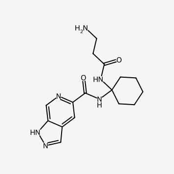 NCCC(=O)NC1(NC(=O)c2cc3cn[nH]c3cn2)CCCCC1